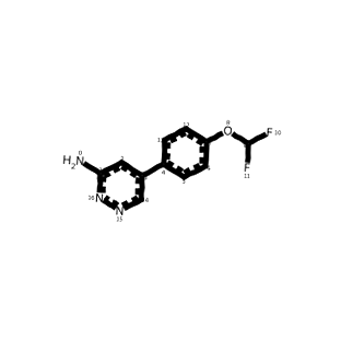 Nc1cc(-c2ccc(OC(F)F)cc2)cnn1